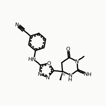 CN1C(=N)N[C@](C)(c2nnc(Nc3cccc(C#N)c3)o2)CC1=O